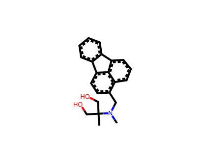 CN(Cc1ccc2c3c(cccc13)-c1ccccc1-2)C(C)(CO)CO